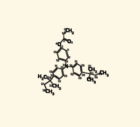 C=CC(=O)Oc1ccc(N(c2ccc(C(C)(C)CC)cc2)c2ccc(C(C)(C)CC)cc2)cc1